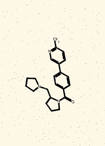 O=C(c1ccc(-c2ccc(C(F)(F)F)nc2)cc1)N1CCCC1CN1CCCC1